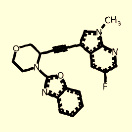 Cn1cc(C#CC2COCCN2c2nc3ccccc3o2)c2cc(F)cnc21